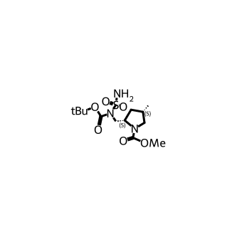 COC(=O)N1C[C@@H](C)C[C@H]1CN(C(=O)OC(C)(C)C)S(N)(=O)=O